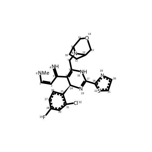 CN/C=C\C(=N)C1=C(CN2C3CCC2COC3)NC(c2nccs2)=N[C@H]1c1ccc(F)cc1Cl